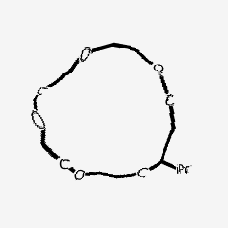 CC(C)C1CCOCCOCCOCCOCC1